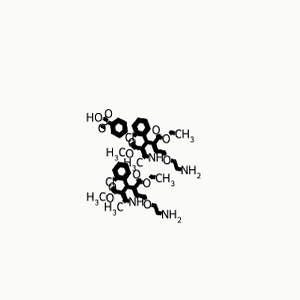 CCOC(=O)C1=C(COCCN)NC(C)=C(C(=O)OC)C1c1ccccc1Cl.CCOC(=O)C1=C(COCCN)NC(C)=C(C(=O)OC)C1c1ccccc1Cl.O=S(=O)(O)c1ccccc1